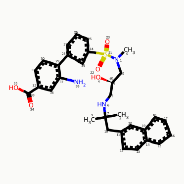 CN(C[C@H](O)CNC(C)(C)Cc1ccc2ccccc2c1)S(=O)(=O)c1cccc(-c2ccc(C(=O)O)cc2N)c1